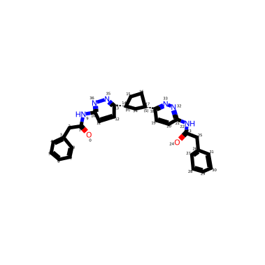 O=C(Cc1ccccc1)Nc1ccc([C@@H]2CC[C@H](c3ccc(NC(=O)Cc4ccccc4)nn3)C2)nn1